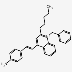 CCCCCc1cc(C=Cc2ccc(N)cc2)c2ccccc2[n+]1Cc1ccccc1